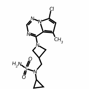 Cc1cc(Cl)n2ncnc(N3CC(CN(C4CC4)S(N)(=O)=O)C3)c12